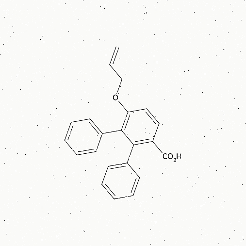 C=CCOc1ccc(C(=O)O)c(-c2ccccc2)c1-c1ccccc1